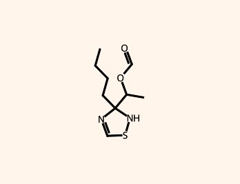 CCCCC1(C(C)OC=O)N=CSN1